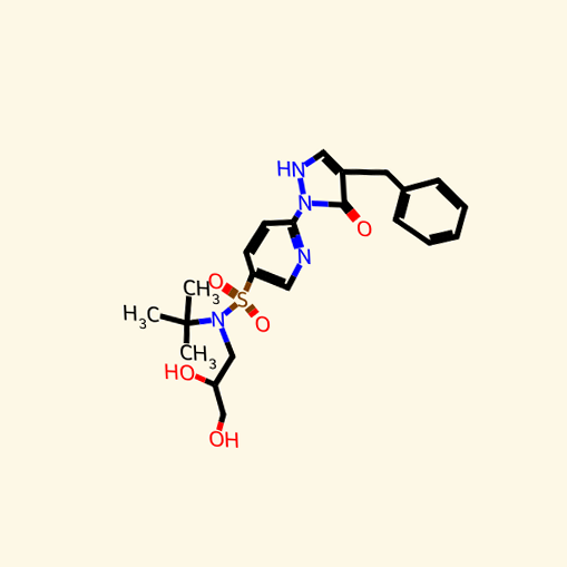 CC(C)(C)N(CC(O)CO)S(=O)(=O)c1ccc(-n2[nH]cc(Cc3ccccc3)c2=O)nc1